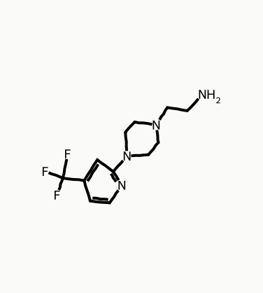 NCCN1CCN(c2cc(C(F)(F)F)ccn2)CC1